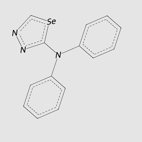 c1ccc(N(c2ccccc2)c2nnc[se]2)cc1